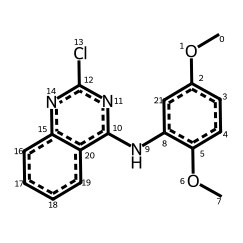 COc1ccc(OC)c(Nc2nc(Cl)nc3ccccc23)c1